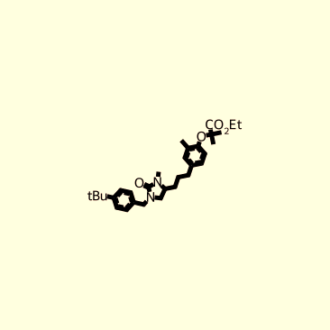 CCOC(=O)C(C)(C)Oc1ccc(CCCC2CN(Cc3ccc(C(C)(C)C)cc3)C(=O)N2C)cc1C